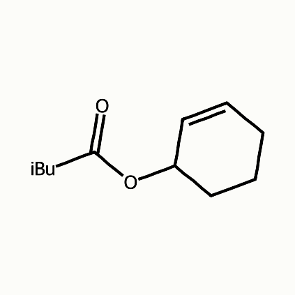 CCC(C)C(=O)OC1C=CCCC1